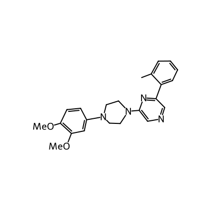 COc1ccc(N2CCN(c3cncc(-c4ccccc4C)n3)CC2)cc1OC